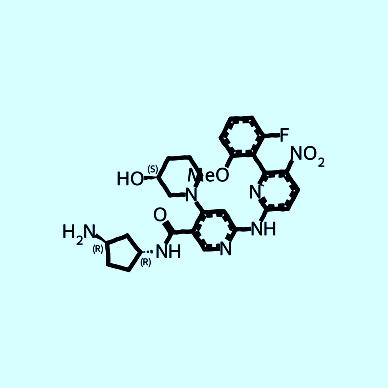 COc1cccc(F)c1-c1nc(Nc2cc(N3CCC[C@H](O)C3)c(C(=O)N[C@@H]3CC[C@@H](N)C3)cn2)ccc1[N+](=O)[O-]